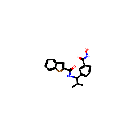 CC(C)C(NC(=O)c1cc2ccccc2s1)c1cccc(C(=O)NO)c1